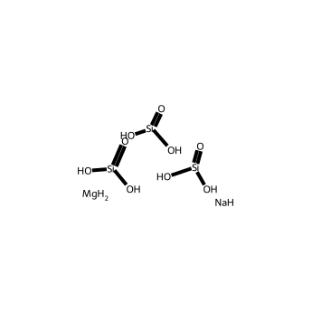 O=[Si](O)O.O=[Si](O)O.O=[Si](O)O.[MgH2].[NaH]